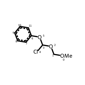 COCOC(Cl)Oc1ccccc1